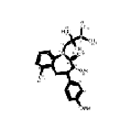 COc1ccc(C2Cc3c(cccc3C(F)(F)F)N(CC(C)(C)N(C)C)C(=O)[C@@H]2OC(C)=O)cc1